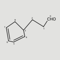 O=CCCC1C=CC=CC1